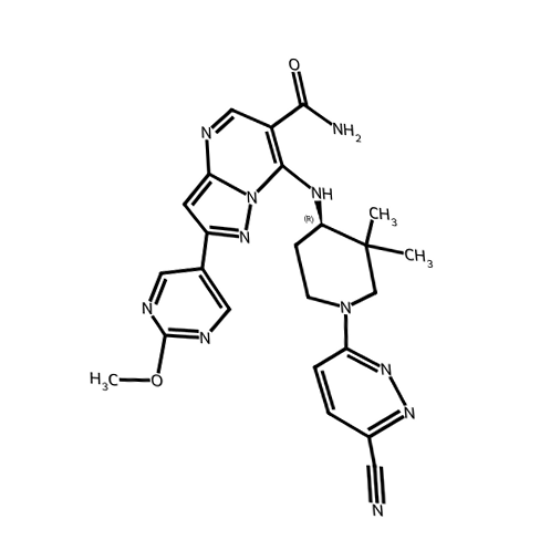 COc1ncc(-c2cc3ncc(C(N)=O)c(N[C@@H]4CCN(c5ccc(C#N)nn5)CC4(C)C)n3n2)cn1